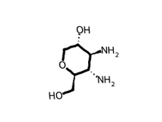 N[C@H]1[C@H](N)[C@@H](CO)OC[C@@H]1O